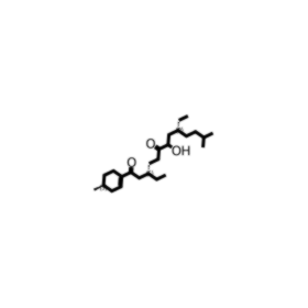 CC[C@H](CCC(C)C)CC(O)C(=O)CC[C@H](CC)CC(=O)C1=CC[C@@H](C)CC1